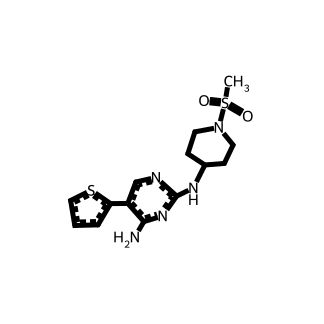 CS(=O)(=O)N1CCC(Nc2ncc(-c3cccs3)c(N)n2)CC1